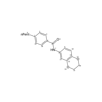 CCCCCc1ccc(C(=O)Nc2ccc3c(c2)OCCO3)cc1